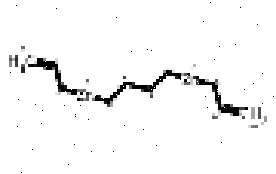 C=C[CH2][Zn][CH2]CC[CH2][Zn][CH2]C=C